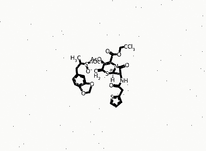 C=C1S[C@@H]2C(NC(=O)Cc3cccs3)C(=O)N2C(C(=O)OCC(Cl)(Cl)Cl)=C1OC(C)=O.CCCCCCCC[S+]([O-])C(C)Cc1ccc2c(c1)OCO2